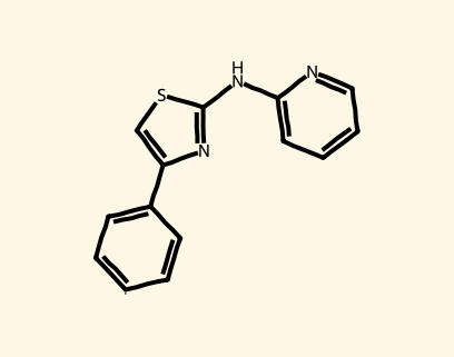 [c]1ccc(-c2csc(Nc3ccccn3)n2)cc1